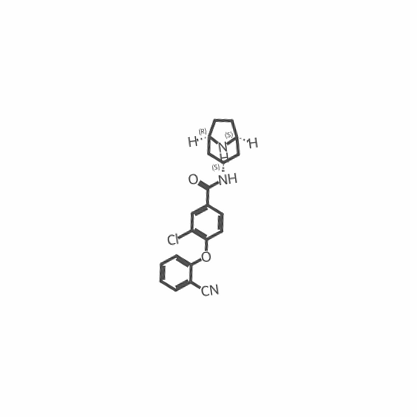 N#Cc1ccccc1Oc1ccc(C(=O)N[C@@H]2C[C@H]3CC[C@@H](C2)N3)cc1Cl